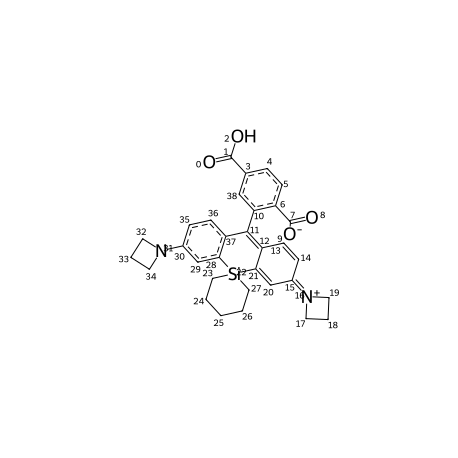 O=C(O)c1ccc(C(=O)[O-])c(C2=C3C=CC(=[N+]4CCC4)C=C3[Si]3(CCCCC3)c3cc(N4CCC4)ccc32)c1